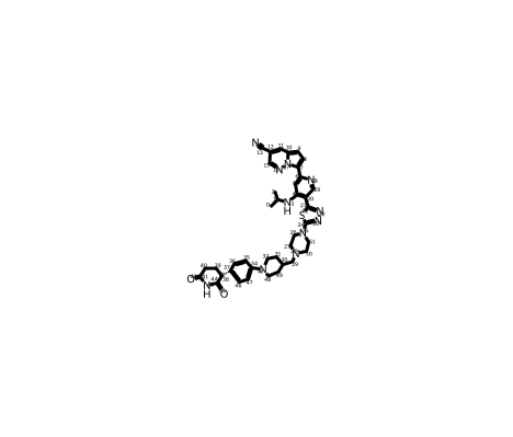 CC(C)Nc1cc(-c2ccc3cc(C#N)cnn23)ncc1-c1nnc(N2CCN(CC3CCN(c4ccc([C@H]5CCC(=O)NC5=O)cc4)CC3)CC2)s1